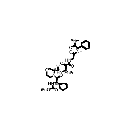 CCC[C@@H](NC(=O)[C@@H]1COCCN1C(=O)[C@@H](NC(=O)OCC(C)C)C1CCCCC1)C(=O)C(=O)NCC(=O)N[C@H](C(=O)N(C)C)c1ccccc1